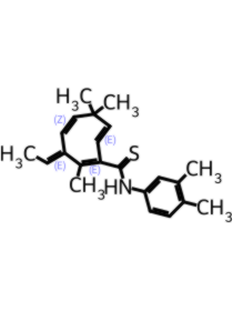 C/C=C1\C=C/C(C)(C)/C=C/C(C(=S)Nc2ccc(C)c(C)c2)=C\1C